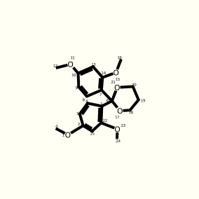 COc1ccc(C2(c3ccc(OC)cc3OC)OCCCO2)c(OC)c1